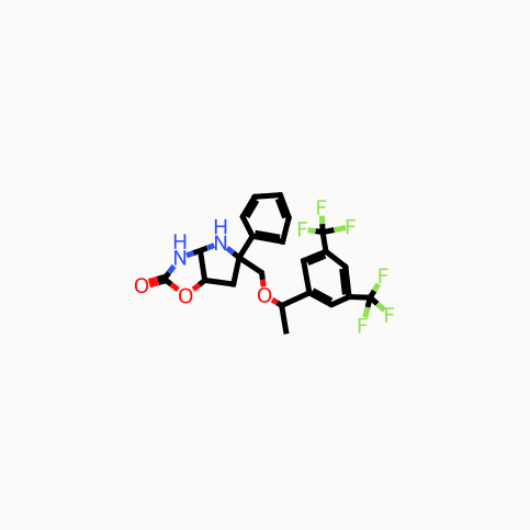 CC(OCC1(c2ccccc2)CC2OC(=O)NC2N1)c1cc(C(F)(F)F)cc(C(F)(F)F)c1